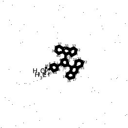 CP(C)(I)(I)c1ccc(-c2cc(-c3c4ccccc4cc4ccccc34)cc(-c3c4ccccc4cc4ccccc34)c2)cc1